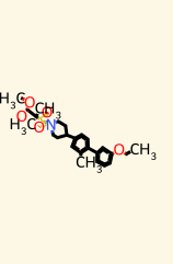 CCOc1cccc(-c2ccc(C3CCN(S(=O)(=O)C(C)(C)C(=O)OC)CC3)cc2C)c1